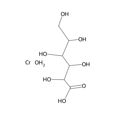 O.O=C(O)C(O)C(O)C(O)C(O)CO.[Cr]